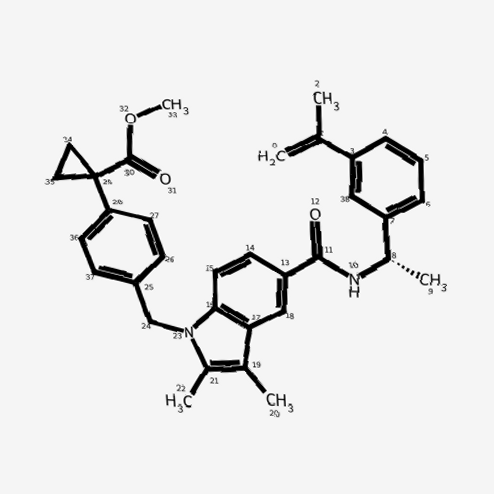 C=C(C)c1cccc([C@H](C)NC(=O)c2ccc3c(c2)c(C)c(C)n3Cc2ccc(C3(C(=O)OC)CC3)cc2)c1